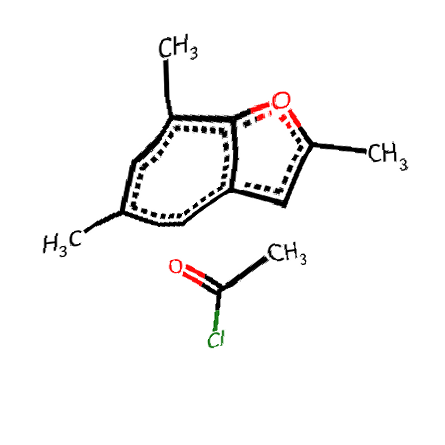 CC(=O)Cl.Cc1cc(C)c2oc(C)cc2c1